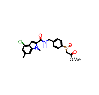 COC(=O)C[S+]([O-])c1ccc(CNC(=O)c2cc3c(Cl)cc(C)cc3n2C)cc1